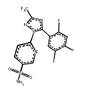 NS(=O)(=O)c1ccc(-n2nc(C(F)(F)F)nc2-c2cc(F)c(F)cc2F)nc1